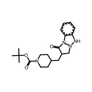 CC(C)(C)OC(=O)N1CCC(CC2CN3Nc4ccccc4N3C2=O)CC1